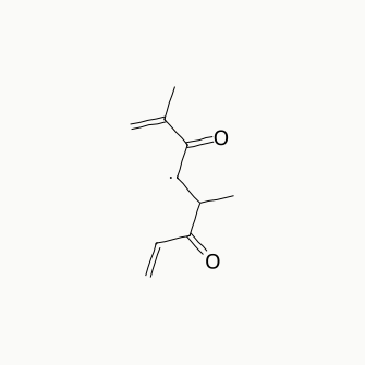 C=CC(=O)C(C)[CH]C(=O)C(=C)C